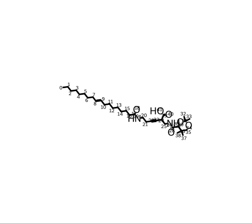 CCCCCCCCC=CCCCCCCCC(=O)NCCC#CC(CNC(=O)C1OC(C)(C)OCC1(C)C)C(=O)O